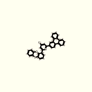 Fc1cc(-c2ccc3c4ccccc4c4ccccc4c3c2)nc(-c2cccc3c2Oc2ccccc2S3)c1